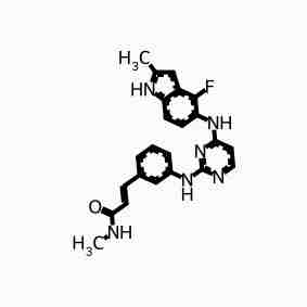 CNC(=O)/C=C/c1cccc(Nc2nccc(Nc3ccc4[nH]c(C)cc4c3F)n2)c1